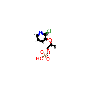 CC(COS(=O)(=O)O)Oc1cccnc1Cl